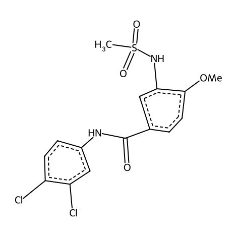 COc1ccc(C(=O)Nc2ccc(Cl)c(Cl)c2)cc1NS(C)(=O)=O